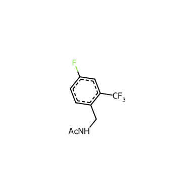 CC(=O)NCc1ccc(F)cc1C(F)(F)F